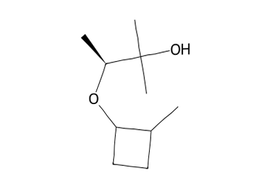 CC1CCC1O[C@@H](C)C(C)(C)O